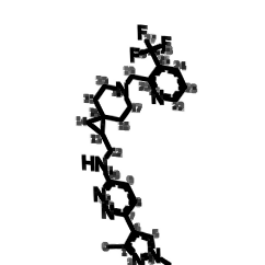 Cc1nn(C)cc1-c1ccc(NCC2CC23CCN(Cc2ncccc2C(F)(F)F)CC3)nn1